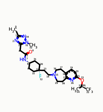 Cc1nc(CC(=O)N[C@H]2CC[C@](F)(CCN3CCc4ccc(O[C@H](C)C(F)(F)F)nc4CC3)CC2)n(C)n1